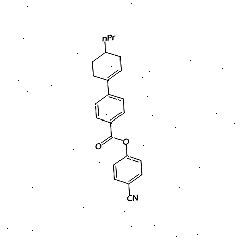 CCCC1CC=C(c2ccc(C(=O)Oc3ccc(C#N)cc3)cc2)CC1